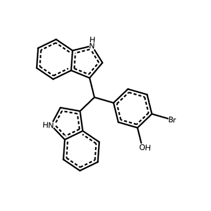 Oc1cc(C(c2c[nH]c3ccccc23)c2c[nH]c3ccccc23)ccc1Br